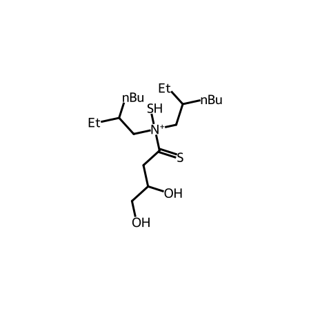 CCCCC(CC)C[N+](S)(CC(CC)CCCC)C(=S)CC(O)CO